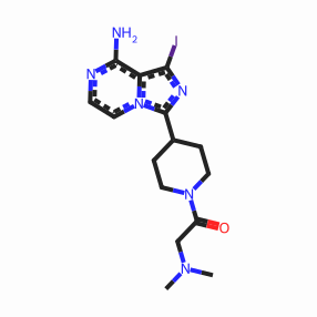 CN(C)CC(=O)N1CCC(c2nc(I)c3c(N)nccn23)CC1